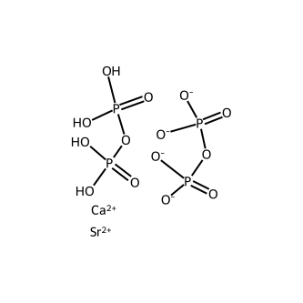 O=P(O)(O)OP(=O)(O)O.O=P([O-])([O-])OP(=O)([O-])[O-].[Ca+2].[Sr+2]